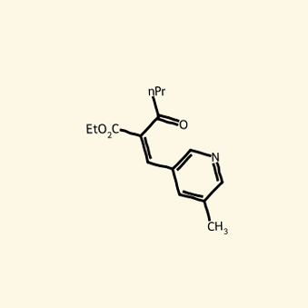 CCCC(=O)C(=Cc1cncc(C)c1)C(=O)OCC